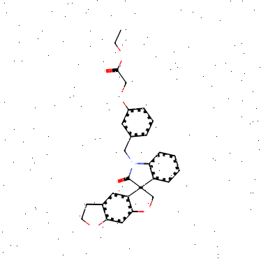 CCOC(=O)COc1cccc(CN2C(=O)C3(COc4cc5c(cc43)CCO5)c3ccccc32)c1